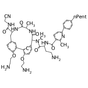 CCCCCc1ccc(-c2ccc(C(=O)NC(CCN)C(=O)N(C)C3C(=O)NC(C)C(=O)NC(C(=O)NCC#N)Cc4ccc(OCCN)c(c4)-c4cc3ccc4OCCN)c(C)n2)cc1